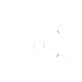 CCCCCCCCC(CCCCCC)C(=O)OCCC1(CCOC(=O)C(CCCCCC)CCCCCCCC)CCN(CCCCO)CC1